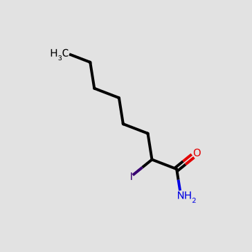 CCCCCCC(I)C(N)=O